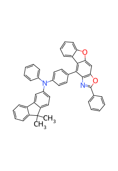 CC1(C)c2ccccc2-c2cc(N(c3ccccc3)c3ccc(-c4c5nc(-c6ccccc6)oc5cc5oc6ccccc6c45)cc3)ccc21